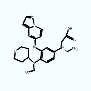 CC[C@@H](CC(=O)O)c1ccc(N(CC)C2CCOCC2)c(Nc2ccn3nccc3n2)c1